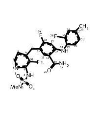 CNS(=O)(=O)Nc1nccc(Cc2cc(C(N)=O)c(Nc3ccc(C)cc3F)cc2F)c1F